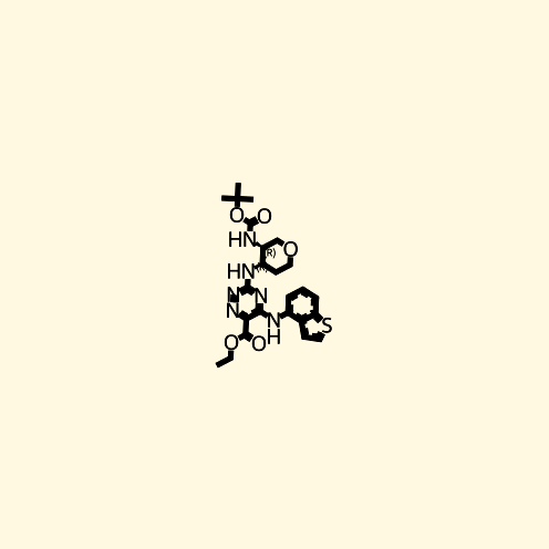 CCOC(=O)c1nnc(N[C@@H]2CCOC[C@@H]2NC(=O)OC(C)(C)C)nc1Nc1cccc2sccc12